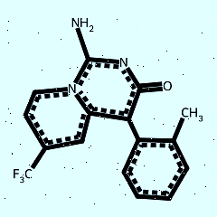 Cc1ccccc1-c1c(=O)nc(N)n2ccc(C(F)(F)F)cc12